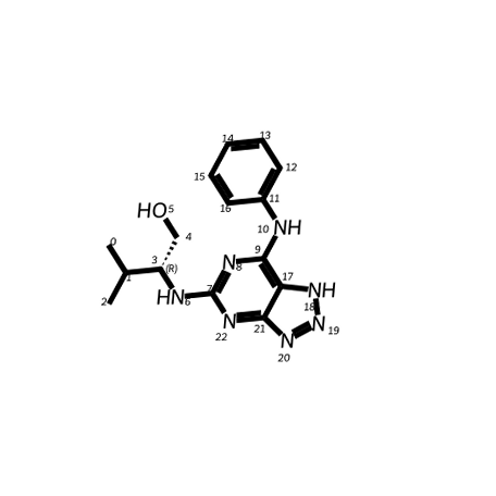 CC(C)[C@H](CO)Nc1nc(Nc2ccccc2)c2[nH]nnc2n1